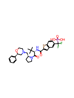 CC(C)(C)[C@H](NC(=O)c1cc2cc(C(F)(F)P(=O)(O)O)ccc2s1)C(=O)N1CCC[C@H]1CN1CCO[C@H](c2ccccc2)C1